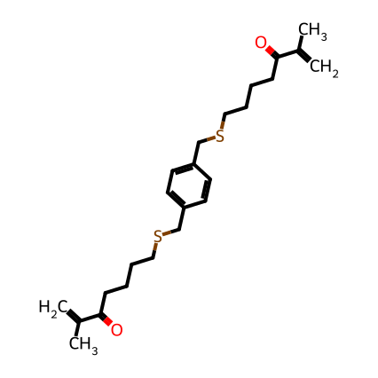 C=C(C)C(=O)CCCCSCc1ccc(CSCCCCC(=O)C(=C)C)cc1